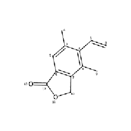 C=Cc1c(C)cc2c(c1C)COC2=O